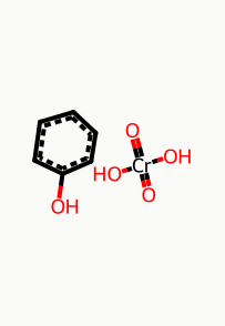 Oc1ccccc1.[O]=[Cr](=[O])([OH])[OH]